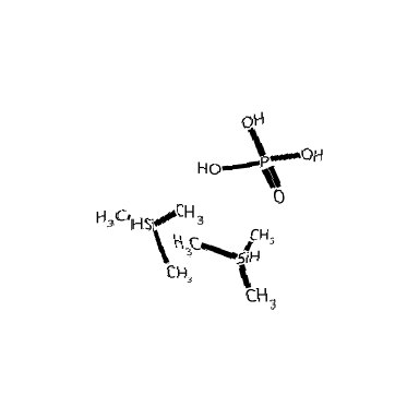 C[SiH](C)C.C[SiH](C)C.O=P(O)(O)O